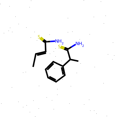 CC(C(N)=S)c1ccccc1.CC=CC(N)=S